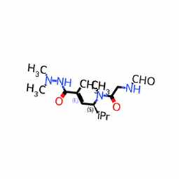 C/C(=C\[C@H](C(C)C)N(C)C(=O)CNC=O)C(=O)NN(C)C